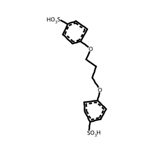 O=S(=O)(O)c1ccc(OCCCOc2ccc(S(=O)(=O)O)cc2)cc1